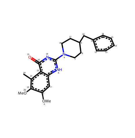 COc1cc2[nH]c(N3CCC(Cc4ccccc4)CC3)nc(=O)c2c(C)c1OC